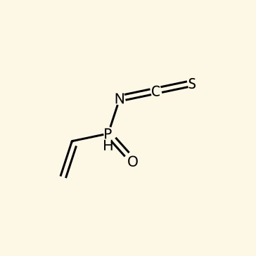 C=C[PH](=O)N=C=S